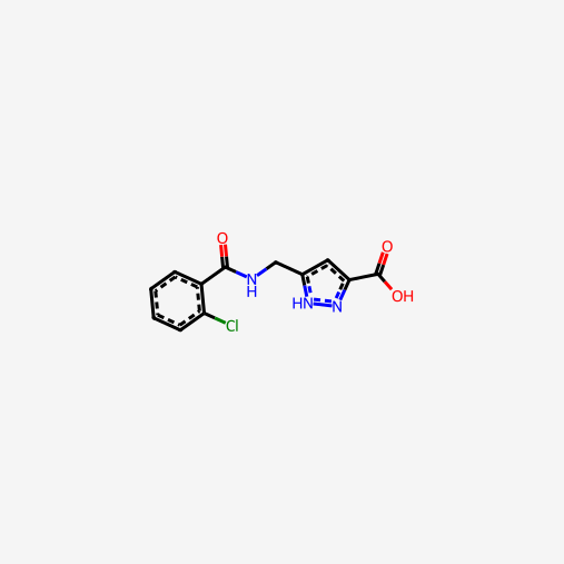 O=C(O)c1cc(CNC(=O)c2ccccc2Cl)[nH]n1